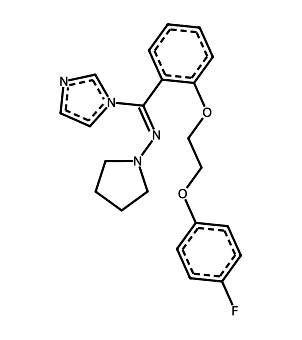 Fc1ccc(OCCOc2ccccc2C(=NN2CCCC2)n2ccnc2)cc1